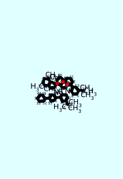 CC(C)(C)c1ccc(N2c3cc(C(C)(C)C)cc4c3B(c3c2oc2ccccc32)N(c2ccc3c(c2)C(C)(C)CCC3(C)C)c2cc(-c3ccccc3)ccc2-4)c(-c2ccccc2)c1